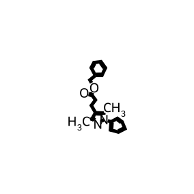 Cc1nn(-c2ccccc2)c(C)c1CCC(=O)OCc1ccccc1